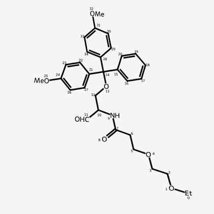 CCOCCOCCC(=O)NC(C=O)COC(c1ccccc1)(c1ccc(OC)cc1)c1ccc(OC)cc1